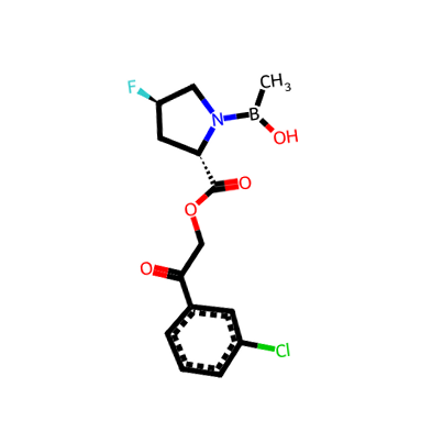 CB(O)N1C[C@H](F)C[C@H]1C(=O)OCC(=O)c1cccc(Cl)c1